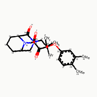 CCCC(C)(C)C(=O)C(=O)N1C2CCCC1C(=O)N(CCOc1ccc(OC)c(OC)c1)C2